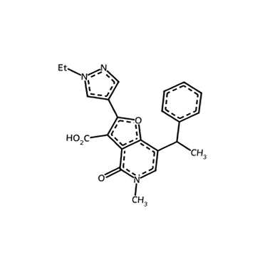 CCn1cc(-c2oc3c(C(C)c4ccccc4)cn(C)c(=O)c3c2C(=O)O)cn1